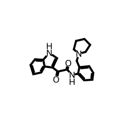 O=C(Nc1ccccc1CN1CCCCC1)C(=O)c1c[nH]c2ccccc12